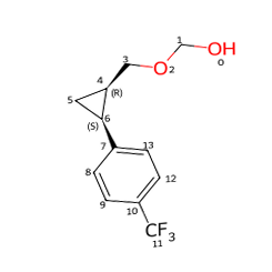 OCOC[C@@H]1C[C@@H]1c1ccc(C(F)(F)F)cc1